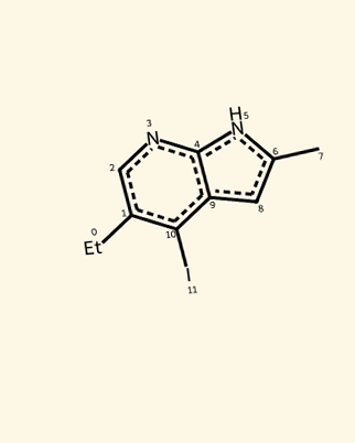 CCc1cnc2[nH]c(C)cc2c1I